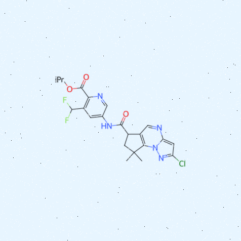 CC(C)OC(=O)c1ncc(NC(=O)C2CC(C)(C)c3c2cnc2cc(Cl)nn32)cc1C(F)F